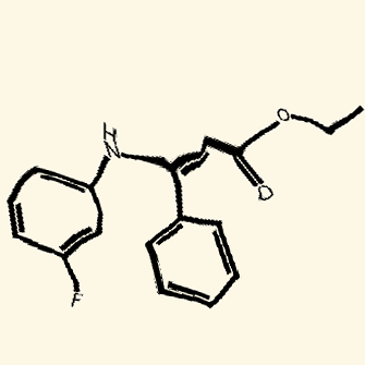 CCOC(=O)C=C(Nc1cccc(F)c1)c1ccccc1